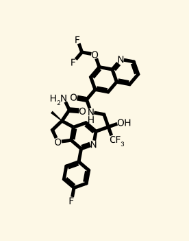 C[C@]1(C(N)=O)COc2c1cc(C(O)(CNC(=O)c1cc(OC(F)F)c3ncccc3c1)C(F)(F)F)nc2-c1ccc(F)cc1